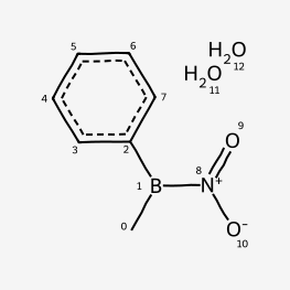 CB(c1ccccc1)[N+](=O)[O-].O.O